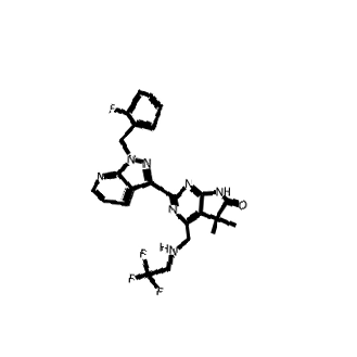 CC1(C)C(=O)Nc2nc(-c3nn(Cc4ccccc4F)c4ncccc34)nc(CNCC(F)(F)F)c21